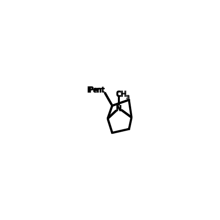 CCCC(C)C1CC2CCC1N2C